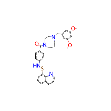 COc1cc(CN2CCCN(C(=O)c3ccc(NSc4cccc5cccnc45)cc3)CC2)cc(OC)c1